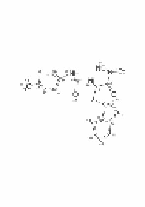 CCN(C#N)C(=O)C(Cc1csc2ccccc12)NC(=O)Nc1ccc(C(F)(F)F)cc1